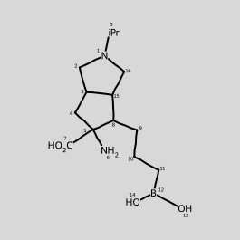 CC(C)N1CC2CC(N)(C(=O)O)C(CCCB(O)O)C2C1